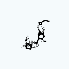 CCC1CC(Oc2cc(C(=O)N[C@@H]3[C@@H]4CC[C@@H](C4)[C@@H]3C=O)c(OC)cc2F)C1